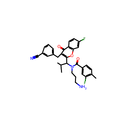 Cc1ccc(C(=O)N(CCCN)C(c2oc3cc(F)ccc3c(=O)c2Cc2cccc(C#N)c2)C(C)C)cc1F